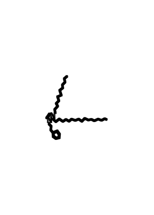 CCCCCCCCCCCCCCCCCc1n(CCCCCCCCCCCCC)cc[n+]1CCCc1ccccc1